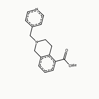 COC(=O)c1cccc2c1CCN(Cc1ccncc1)C2